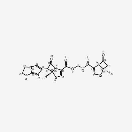 O=C(OCOC(=O)C1=CS[C@@H]2CC(=O)N12)C1=CS[C@@H]2C(c3cn4c(n3)SCC4)C(=O)N12